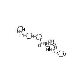 O=C(CN1CCOCC1)N[C@@H](CNC(=O)c1cccc(N2CCC(Nc3ncccn3)CC2)c1)C(=O)O